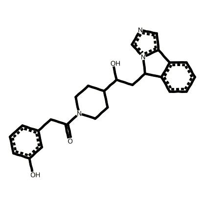 O=C(Cc1cccc(O)c1)N1CCC(C(O)CC2c3ccccc3-c3cncn32)CC1